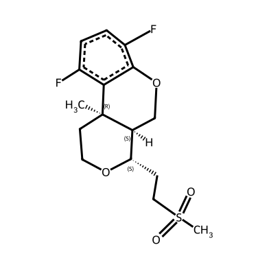 C[C@@]12CCO[C@@H](CCS(C)(=O)=O)[C@@H]1COc1c(F)ccc(F)c12